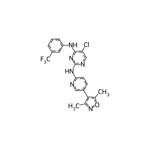 Cc1noc(C)c1-c1ccc(Nc2ncc(Cl)c(Nc3cccc(C(F)(F)F)c3)n2)nc1